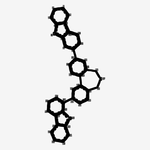 c1ccc2c(c1)oc1cc(-c3ccc4c(c3)CSCc3ccc(-c5cccc6c5oc5ccccc56)cc3-4)ccc12